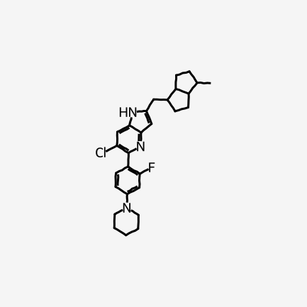 CC1CCC2C(Cc3cc4nc(-c5ccc(N6CCCCC6)cc5F)c(Cl)cc4[nH]3)CCC12